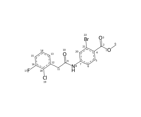 COC(=O)c1ccc(NC(=O)Cc2cccc(F)c2Cl)cc1Br